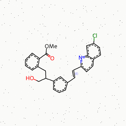 COC(=O)c1ccccc1CC(CO)c1cccc(/C=C/c2ccc3ccc(Cl)cc3n2)c1